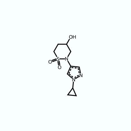 O=S1(=O)CCC(O)CN1c1cnn(C2CC2)c1